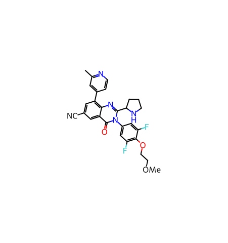 COCCOc1c(F)cc(-n2c(C3CCCN3)nc3c(-c4ccnc(C)c4)cc(C#N)cc3c2=O)cc1F